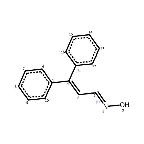 O/N=C/C=C(c1ccccc1)c1ccccc1